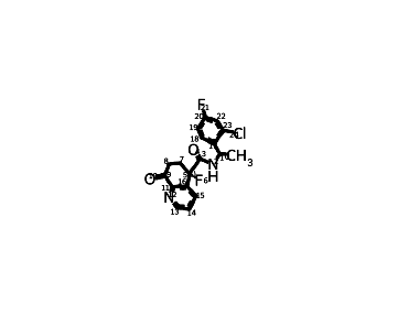 CC(NC(=O)[C@]1(F)CCC(=O)c2ncccc21)c1ccc(F)cc1Cl